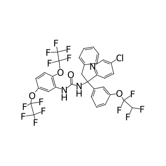 O=C(Nc1cc(OC(F)(F)C(F)(F)F)ccc1OC(F)(F)C(F)(F)F)NC(Cc1ccccc1)(c1cccc(OC(F)(F)C(F)F)c1)c1ccc(Cl)cn1